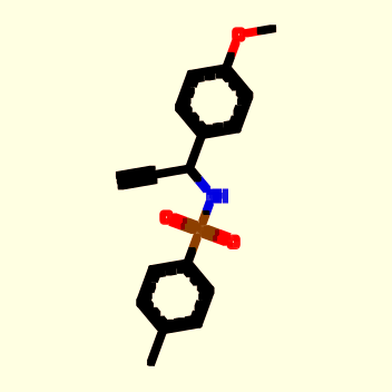 C#CC(NS(=O)(=O)c1ccc(C)cc1)c1ccc(OC)cc1